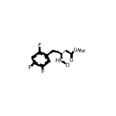 COC(=O)C[C@@H](Cc1cc(F)c(F)cc1F)NCl